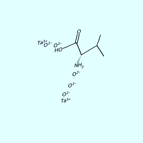 CC(C)[C@H](N)C(=O)O.[O-2].[O-2].[O-2].[O-2].[O-2].[Ta+5].[Ta+5]